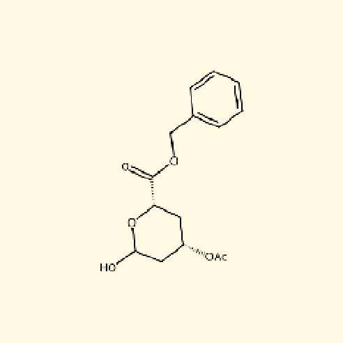 CC(=O)O[C@@H]1CC(O)O[C@H](C(=O)OCc2ccccc2)C1